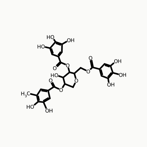 Cc1cc(C(=O)OC2COC(COC(=O)c3cc(O)c(O)c(O)c3)C(OC(=O)c3cc(O)c(O)c(O)c3)C2O)cc(O)c1O